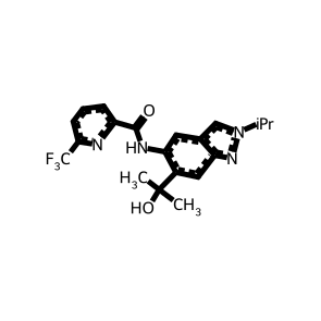 CC(C)n1cc2cc(NC(=O)c3cccc(C(F)(F)F)n3)c(C(C)(C)O)cc2n1